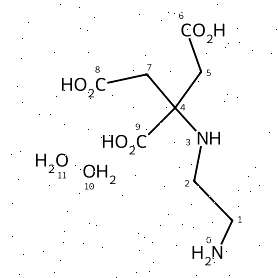 NCCNC(CC(=O)O)(CC(=O)O)C(=O)O.O.O